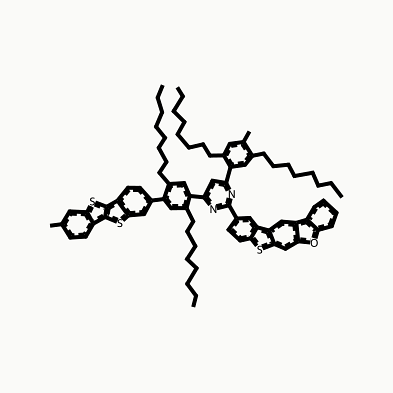 CCCCCCCCc1cc(-c2cc(-c3cc(CCCCCCCC)c(-c4ccc5c(c4)sc4c6ccc(C)cc6sc54)cc3CCCCCCCC)nc(-c3ccc4sc5cc6oc7ccccc7c6cc5c4c3)n2)c(CCCCCCCC)cc1C